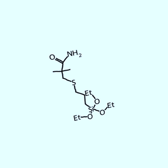 CCO[Si](CCCSCC(C)(C)C(N)=O)(OCC)OCC